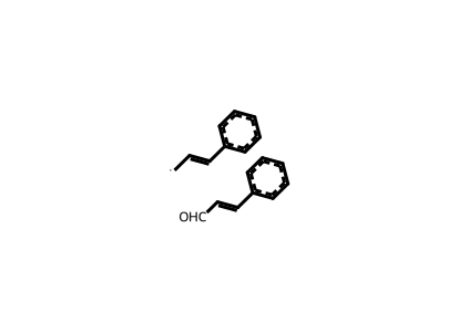 O=C/C=C/c1ccccc1.[CH2]/C=C/c1ccccc1